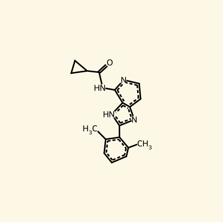 Cc1cccc(C)c1-c1nc2ccnc(NC(=O)C3CC3)c2[nH]1